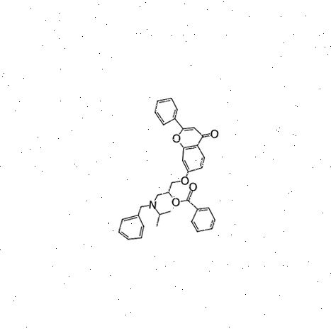 CC(C)N(Cc1ccccc1)CC(COc1ccc2c(=O)cc(-c3ccccc3)oc2c1)OC(=O)c1ccccc1